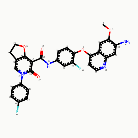 COc1cc2c(Oc3ccc(NC(=O)c4c5c(cn(-c6ccc(F)cc6)c4=O)CCO5)cc3F)ccnc2cc1N